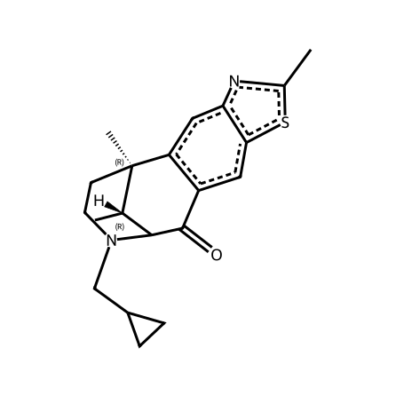 Cc1nc2cc3c(cc2s1)C(=O)C1[C@H](C)[C@@]3(C)CCN1CC1CC1